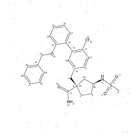 CS(=O)(=O)N[C@H]1CC[C@](Cc2ccc(C(F)(F)F)c(-c3ccccc3OCc3ccccc3)c2)(C(N)=O)C1